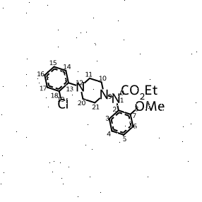 CCOC(=O)N(c1ccccc1OC)N1CCN(c2ccccc2Cl)CC1